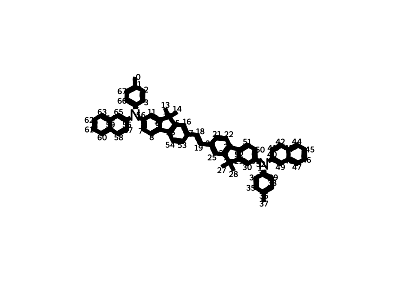 Cc1ccc(N(c2ccc3c(c2)C(C)(C)c2cc(/C=C/c4ccc5c(c4)C(C)(C)c4cc(N(c6ccc(C)cc6)c6ccc7ccccc7c6)ccc4-5)ccc2-3)c2ccc3ccccc3c2)cc1